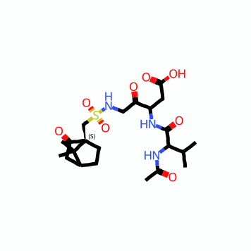 CC(=O)NC(C(=O)NC(CC(=O)O)C(=O)CNS(=O)(=O)C[C@]12CCC(CC1=O)C2(C)C)C(C)C